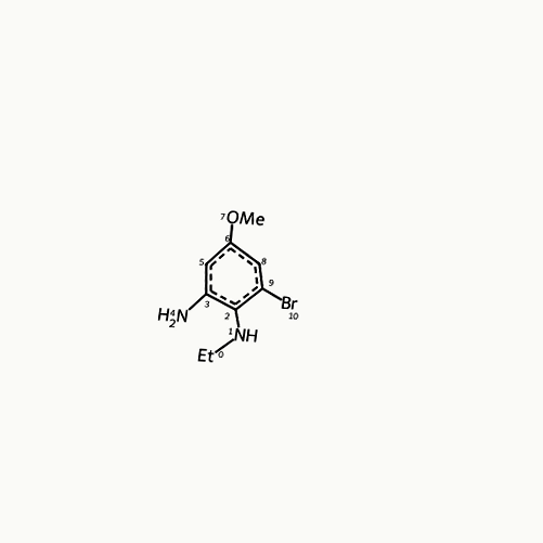 CCNc1c(N)cc(OC)cc1Br